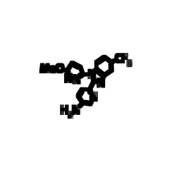 COc1ccc(-n2c(-c3ccc(N)cn3)nc3cc(C(F)(F)F)ccc32)nn1